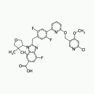 COc1cc(Cl)ncc1COc1cccc(-c2cc(F)c(Cc3nc4c(F)cc(C(=O)O)cc4n3C3COCC3(C)C)cc2F)n1